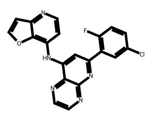 Fc1ccc(Cl)cc1-c1cc(Nc2ccnc3ccoc23)c2nccnc2n1